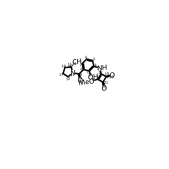 COc1c(Nc2cccc(C(=O)N3CCC[C@@H]3C)c2O)c(=O)c1=O